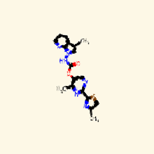 Cc1csc(-c2ncc(OC(=O)Nn3cc(C)c4cccnc43)c(C)n2)n1